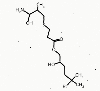 CCC(C)(C)CCC(O)COC(=O)CCSCC(C)C(N)O